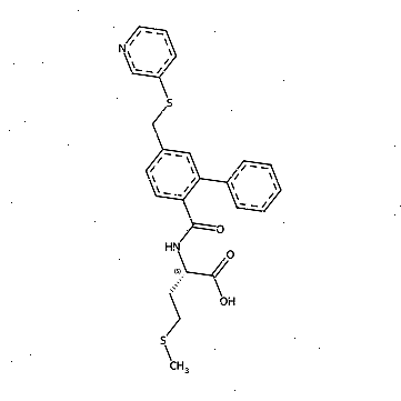 CSCC[C@H](NC(=O)c1ccc(CSc2cccnc2)cc1-c1ccccc1)C(=O)O